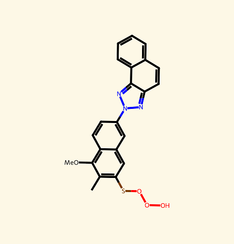 COc1c(C)c(SOOO)cc2cc(-n3nc4ccc5ccccc5c4n3)ccc12